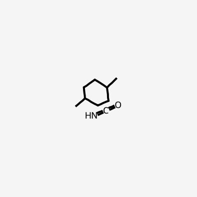 CC1CCC(C)CC1.N=C=O